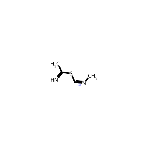 C/N=C\SC(C)=N